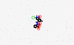 Cc1cc(C(C)n2c(=O)oc(=O)c3ccccc32)c2cc(Cl)n(C)c(=O)c2c1